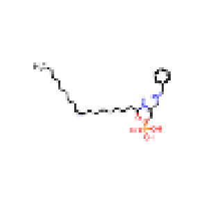 CCCCCCCC/C=C\CCCCCCCC(=O)N[C@@H](CNCc1ccccc1)CO[PH](O)(O)O